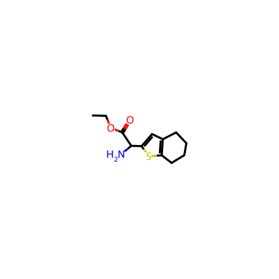 CCOC(=O)C(N)c1cc2c(s1)CCCC2